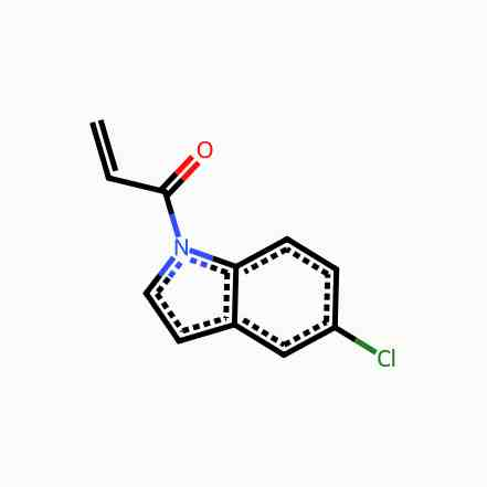 C=CC(=O)n1ccc2cc(Cl)ccc21